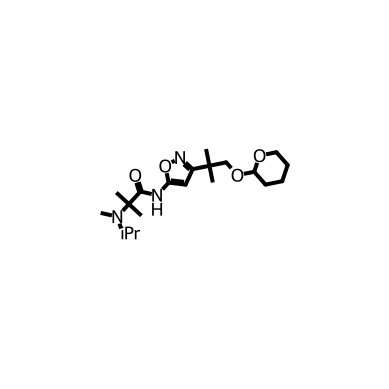 CC(C)N(C)C(C)(C)C(=O)Nc1cc(C(C)(C)COC2CCCCO2)no1